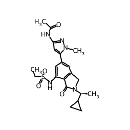 CCS(=O)(=O)Nc1cc(-c2cc(NC(C)=O)nn2C)cc2c1C(=O)N([C@@H](C)C1CC1)C2